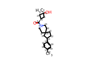 C[C@]1(O)C[C@@H](C(=O)N2CCC3(CCC(c4ccc(C(F)(F)F)cc4)C3)CC2)C1